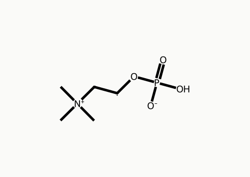 C[N+](C)(C)C[CH]OP(=O)([O-])O